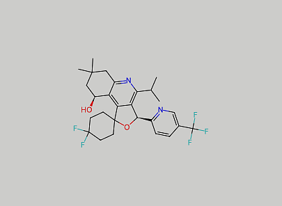 CC(C)c1nc2c(c3c1[C@@H](c1ccc(C(F)(F)F)cn1)OC31CCC(F)(F)CC1)[C@@H](O)CC(C)(C)C2